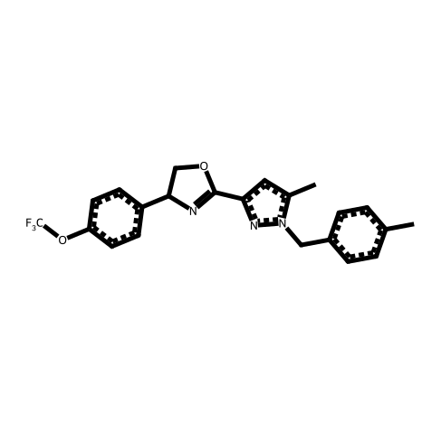 Cc1ccc(Cn2nc(C3=NC(c4ccc(OC(F)(F)F)cc4)CO3)cc2C)cc1